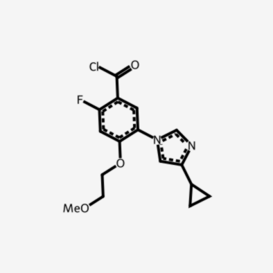 COCCOc1cc(F)c(C(=O)Cl)cc1-n1cnc(C2CC2)c1